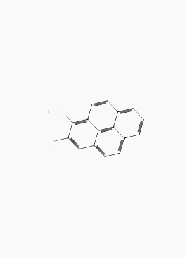 O=Cc1c(Cl)cc2ccc3cccc4ccc1c2c34